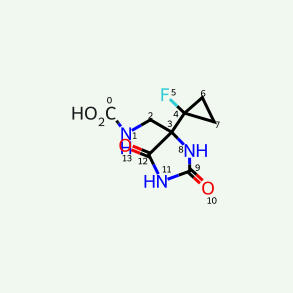 O=C(O)NCC1(C2(F)CC2)NC(=O)NC1=O